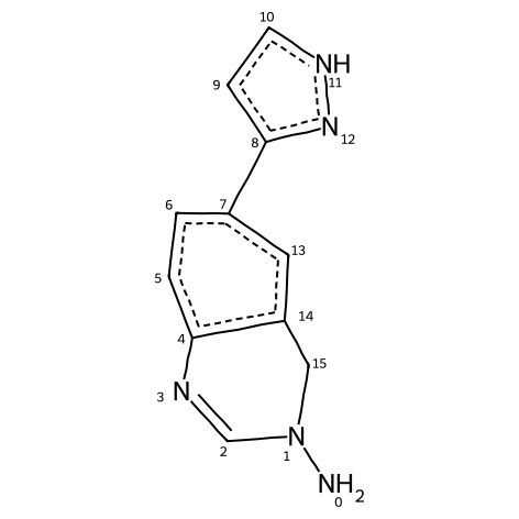 NN1C=Nc2ccc(-c3cc[nH]n3)cc2C1